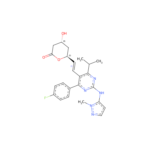 CC(C)c1nc(Nc2ccnn2C)nc(-c2ccc(F)cc2)c1/C=C/[C@@H]1C[C@@H](O)CC(=O)O1